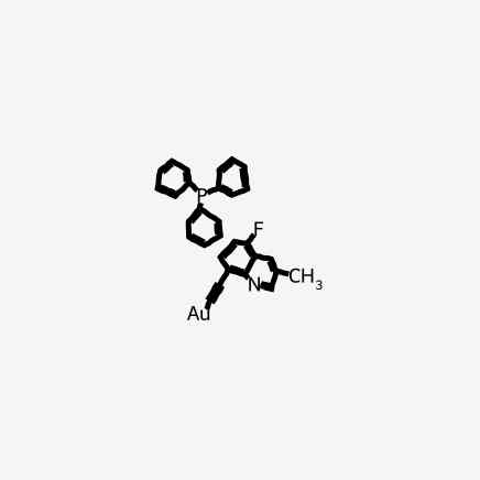 Cc1cnc2c(C#[C][Au])ccc(F)c2c1.c1ccc(P(c2ccccc2)c2ccccc2)cc1